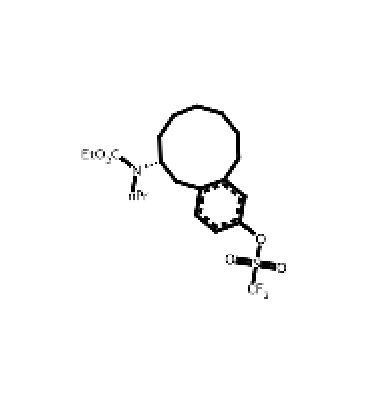 CCCN(C(=O)OCC)[C@@H]1CCCCCCc2cc(OS(=O)(=O)C(F)(F)F)ccc2C1